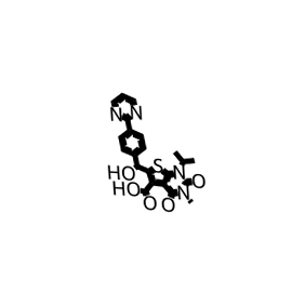 CC(C)n1c(=O)n(C)c(=O)c2c(C(=O)O)c(C(O)c3ccc(-c4ncccn4)cc3)sc21